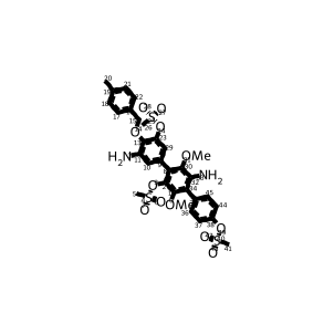 COc1c(OS(C)(=O)=O)c(-c2cc(N)c(OCc3ccc(C)cc3)c(OS(C)(=O)=O)c2)c(OC)c(N)c1-c1ccc(OS(C)(=O)=O)cc1